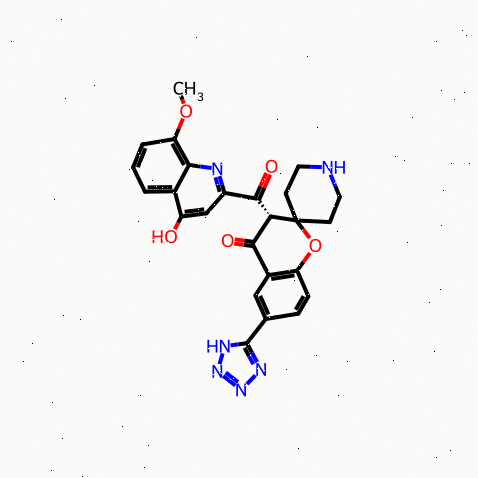 COc1cccc2c(O)cc(C(=O)[C@H]3C(=O)c4cc(-c5nnn[nH]5)ccc4OC34CCNCC4)nc12